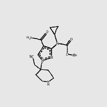 CC(C)(C)OC(=O)N(c1nn(C2(CC#N)CCNCC2)cc1C(N)=O)C1CC1